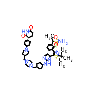 CCC(c1cccc(-c2nc(C(C)(C)C)sc2-c2ccnc(NC3CCC(CN4CCN(CC5CCN(c6ccc([C@@H]7CCC(=O)NC7=O)cc6)CC5)CC4)CC3)n2)c1F)S(N)(=O)=O